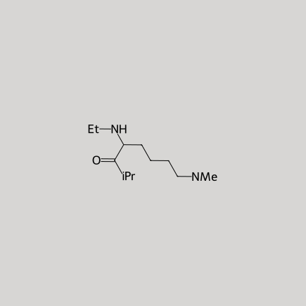 CCNC(CCCCNC)C(=O)C(C)C